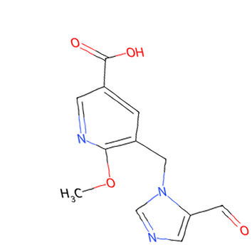 COc1ncc(C(=O)O)cc1Cn1cncc1C=O